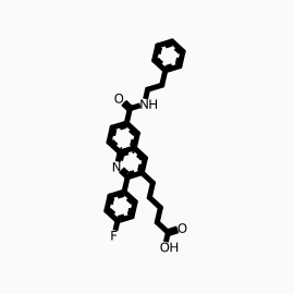 O=C(O)CCCCc1cc2cc(C(=O)NCCc3ccccc3)ccc2nc1-c1ccc(F)cc1